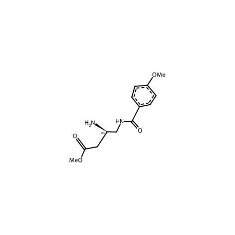 COC(=O)C[C@@H](N)CNC(=O)c1ccc(OC)cc1